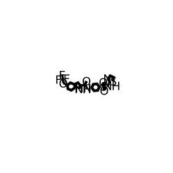 O=C(Nc1ccc(S(=O)(=O)Nc2nccs2)cc1)c1cc2cc(OC(F)(F)F)ccc2[nH]1